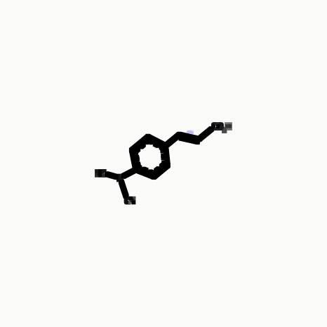 N#CN(C#N)c1ccc(/C=C/C(=O)O)cc1